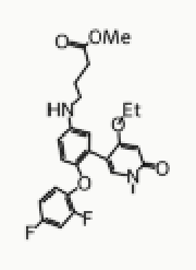 CCOc1cc(=O)n(C)cc1-c1cc(NCCCC(=O)OC)ccc1Oc1ccc(F)cc1F